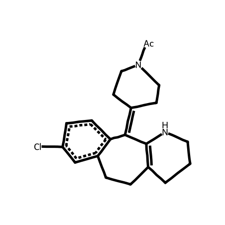 CC(=O)N1CCC(=C2C3=C(CCCN3)CCc3cc(Cl)ccc32)CC1